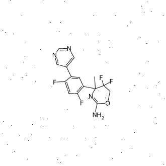 CC1(c2cc(-c3cncnc3)c(F)cc2F)N=C(N)OCC1(F)F